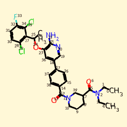 CCN(CC)C(=O)C1CCCN(C(=O)c2ccc(-c3cnc(N)c(OC(C)c4c(Cl)ccc(F)c4Cl)c3)cc2)C1